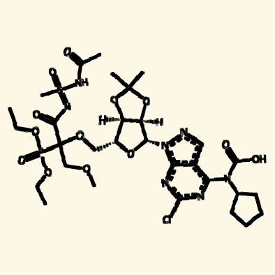 CCOP(=O)(OCC)C(COC)(OC[C@H]1O[C@@H](n2ncc3c(N(C(=O)O)C4CCCC4)nc(Cl)nc32)[C@@H]2OC(C)(C)O[C@@H]21)C(=O)N=S(C)(=O)NC(C)=O